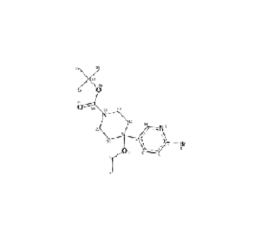 CCOC1(c2ccc(Br)nc2)CCN(C(=O)OC(C)(C)C)CC1